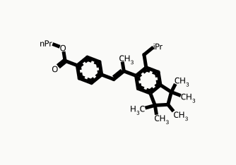 CCCOC(=O)c1ccc(/C=C(\C)c2cc3c(cc2CC(C)C)C(C)(C)C(C)C3(C)C)cc1